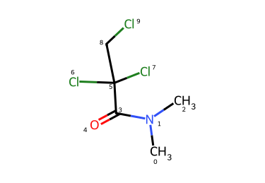 CN(C)C(=O)C(Cl)(Cl)CCl